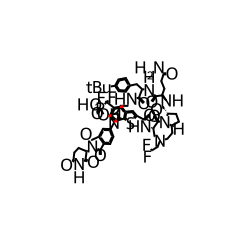 CC(C)(C)c1ccc(CC(NC(=O)C(CCC(N)=O)NC(=O)[C@@H]2CC[C@@H]3CCN(CC(F)F)C[C@H](NC(=O)c4cc5cc(C(F)(F)P(=O)(O)O)ccc5s4)C(=O)N32)C(=O)NCCC2CN(c3ccc4c(c3)C(=O)N(C3CCC(=O)NC3=O)C4=O)C2)cc1